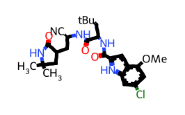 COc1cc(Cl)cc2[nH]c(C(=O)NC(CC(C)(C)C)C(=O)N[C@H](C#N)CC3CC(C)(C)NC3=O)cc12